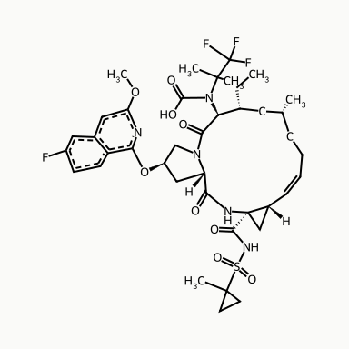 CC[C@@H]1C[C@H](C)CC/C=C\[C@@H]2C[C@@]2(C(=O)NS(=O)(=O)C2(C)CC2)NC(=O)[C@@H]2C[C@@H](Oc3nc(OC)cc4cc(F)ccc34)CN2C(=O)[C@H]1N(C(=O)O)C(C)(C)C(F)(F)F